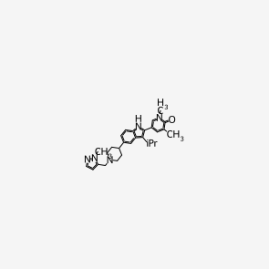 Cc1cc(-c2[nH]c3ccc(C4CCN(Cc5ccnn5C)CC4)cc3c2C(C)C)cn(C)c1=O